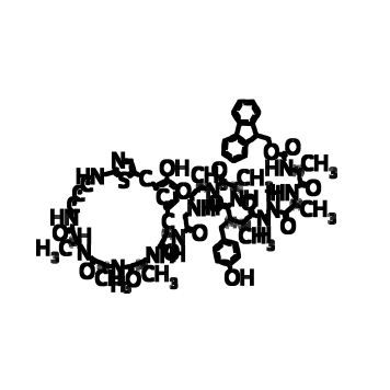 C[C@H](NC(=O)OCC1c2ccccc2-c2ccccc21)C(=O)N[C@@H](C)C(=O)NNC(=O)[C@@H](C)[C@@H](Cc1ccc(O)cc1)C(=O)N[C@@H](C)C(=O)N[C@@H](C)C(=O)NCC(=O)N[C@H]1Cc2ccc(O)c(c2)Cc2cnc(s2)NCCCNC(=O)[C@H](C)NC(=O)[C@H](C)NC(=O)[C@H](C)NC1=O